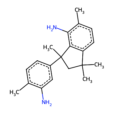 Cc1ccc(C2(C)CC(C)(C)c3ccc(C)c(N)c32)cc1N